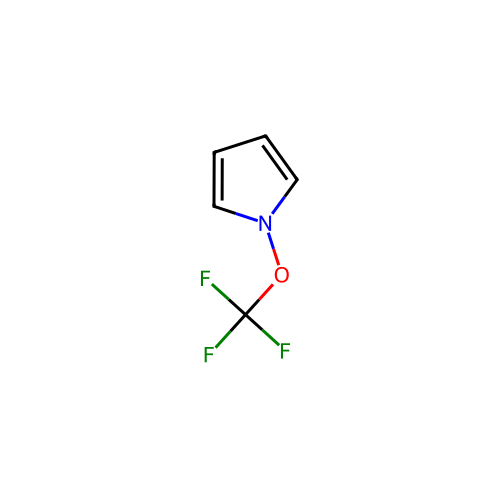 FC(F)(F)On1cccc1